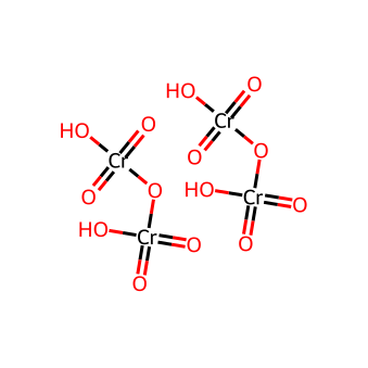 [O]=[Cr](=[O])([OH])[O][Cr](=[O])(=[O])[OH].[O]=[Cr](=[O])([OH])[O][Cr](=[O])(=[O])[OH]